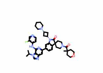 CC(C)n1cnc2cc(-c3ccc4c(c3)N([C@H]3C[C@@H](N5CCCCC5)C3)C(=O)C43CCN(C(=O)C4(C)CCOCC4)CC3)nc(Nc3ccncc3F)c21